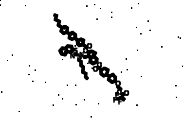 C=C(C(=O)OCCOC1CCC(C2CCC(C(=O)Oc3ccc4c(/C=N/N(CCCCCCCC)c5nc6c(ccc7ccccc76)s5)c(OC(=O)c5ccc(C6=CC=C(C7CCC(CCCCC)CC7)CC6)cc5)ccc4c3)CC2)CC1)C(F)(F)F